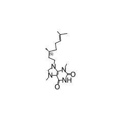 CC(C)=CCC[C@H](C)CCN1CN(C)c2c1n(C)c(=O)[nH]c2=O